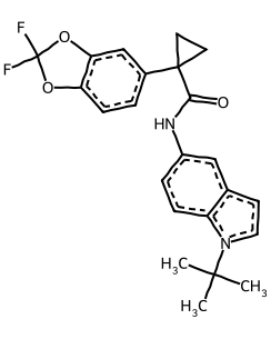 CC(C)(C)n1ccc2cc(NC(=O)C3(c4ccc5c(c4)OC(F)(F)O5)CC3)ccc21